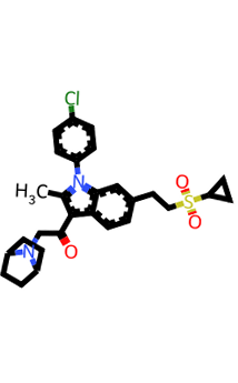 Cc1c(C(=O)CN2C3CCC2CC3)c2ccc(CCS(=O)(=O)C3CC3)cc2n1-c1ccc(Cl)cc1